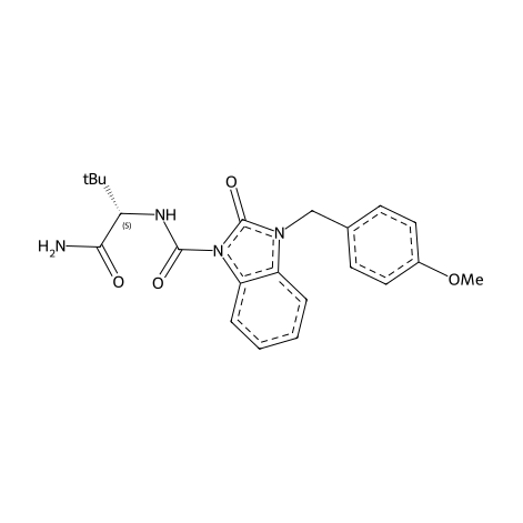 COc1ccc(Cn2c(=O)n(C(=O)N[C@H](C(N)=O)C(C)(C)C)c3ccccc32)cc1